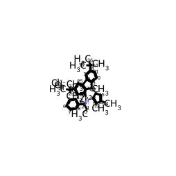 CC/[C](c1ccccc1)=[Zr+2](\[C]1=C(C)C(C)=CC1C)[c]1cc(C(C)(C)C)cc2c1Cc1ccc(C(C)(C)C)cc1-2.[Cl-].[Cl-]